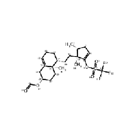 C[C@@H]1CC=C(OS(=O)(=O)C(F)(F)F)[C@@]1(C)CC[C@H]1CCC=C2C[C@@H](OC=O)CC[C@@]21C